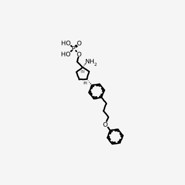 N[C@@]1(COP(=O)(O)O)CC[C@@H](c2ccc(CCCOc3ccccc3)cc2)C1